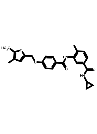 Cc1ccc(C(=O)NC2CC2)cc1NC(=O)c1ccc(OCc2cc(C)c(C(=O)O)o2)cc1